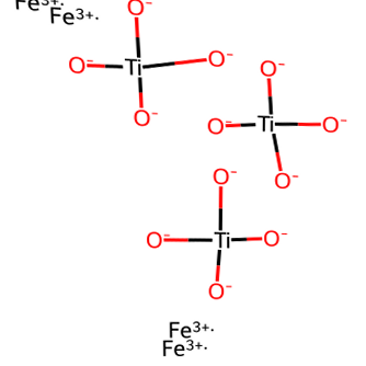 [Fe+3].[Fe+3].[Fe+3].[Fe+3].[O-][Ti]([O-])([O-])[O-].[O-][Ti]([O-])([O-])[O-].[O-][Ti]([O-])([O-])[O-]